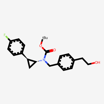 CC(C)(C)OC(=O)N(Cc1ccc(CCO)cc1)[C@@H]1C[C@H]1c1ccc(F)cc1